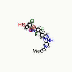 COCCN1CCC(Nc2ncc3cc(-c4c(F)ccc(NS(=O)(=O)c5cc(Cl)cc6c5CCC6O)c4F)ccc3n2)CC1